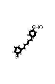 O=Cc1ccc(CCCCCc2cccc(Br)c2)cc1